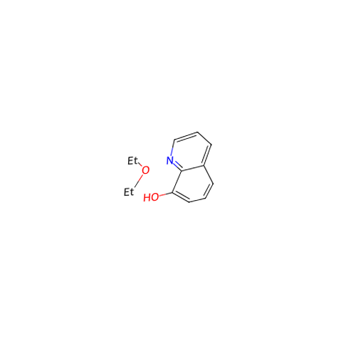 CCOCC.Oc1cccc2cccnc12